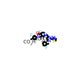 CCOC(=O)C1=C(CN2CC[C@]3(F)C(=O)N(c4cc(F)c(C)c(C(=O)O)c4)C[C@@H]3C2)NC(c2nccs2)=N[C@H]1c1cccc(F)c1C